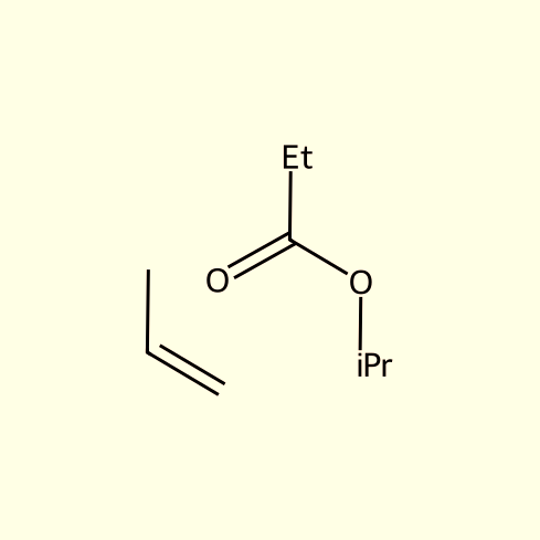 C=CC.CCC(=O)OC(C)C